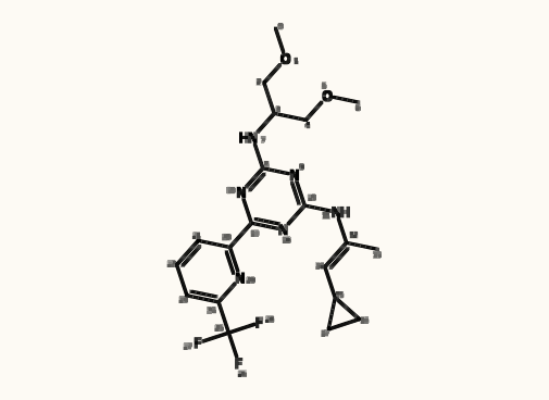 COCC(COC)Nc1nc(NC(C)=CC2CC2)nc(-c2cccc(C(F)(F)F)n2)n1